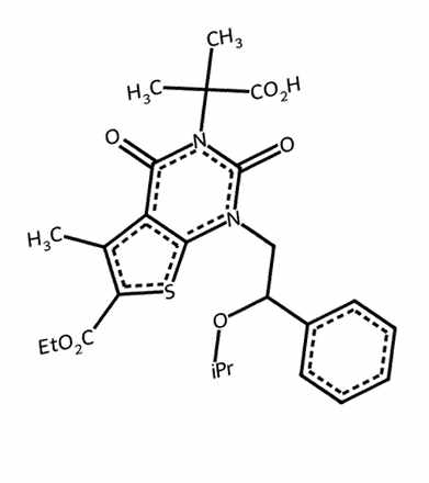 CCOC(=O)c1sc2c(c1C)c(=O)n(C(C)(C)C(=O)O)c(=O)n2CC(OC(C)C)c1ccccc1